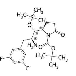 CC(C)(C)OC(=O)N1C(=O)CC[C@@H]1[C@@H](O[Si](C)(C)C)[C@@H](N)Cc1cc(F)cc(F)c1